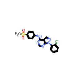 O=S(=O)(c1ccc(Nc2ncnc3c2cnn3-c2ccccc2Cl)cc1)C(F)(F)F